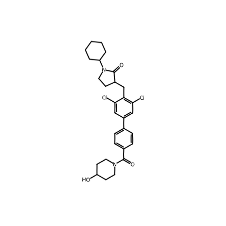 O=C(c1ccc(-c2cc(Cl)c(CC3CCN(C4CCCCC4)C3=O)c(Cl)c2)cc1)N1CCC(O)CC1